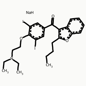 CCCCc1oc2ccccc2c1C(=O)c1cc(I)c(OCCN(CC)CC)c(I)c1.[NaH]